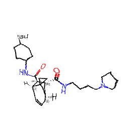 CC(C)(C)C1CCC(NC(=O)[C@H]2[C@H](C(=O)NCCCCN3CCCC3)[C@H]3C=C[C@@H]2C32CC2)CC1